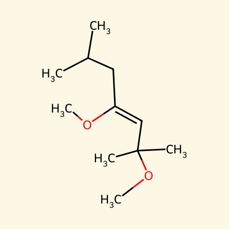 CO/C(=C\C(C)(C)OC)CC(C)C